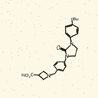 CC(C)(C)c1ccc(N2CCN(c3ccc(CN4CC(C(=O)O)C4)cc3)C2=O)cc1